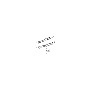 C=C=O.C=C=O.[Sn]